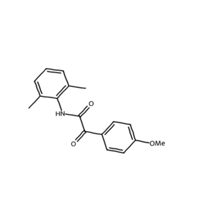 COc1ccc(C(=O)C(=O)Nc2c(C)cccc2C)cc1